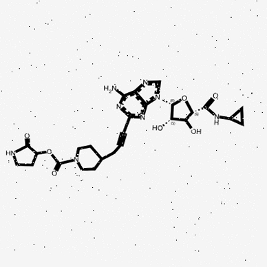 Nc1nc(C#CCC2CCN(C(=O)OC3CCNC3=O)CC2)nc2c1ncn2[C@@H]1O[C@H](C(=O)NC2CC2)C(O)[C@@H]1O